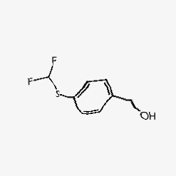 OCc1ccc(SC(F)F)cc1